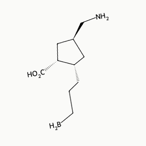 BCCC[C@H]1C[C@H](CN)C[C@H]1C(=O)O